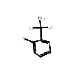 NC(Cl)(Cl)c1ccccc1Cl